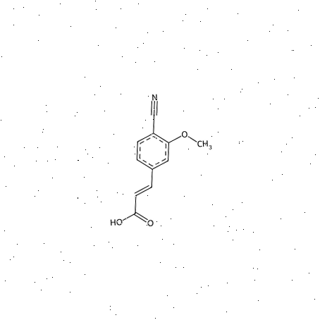 COc1cc(C=CC(=O)O)ccc1C#N